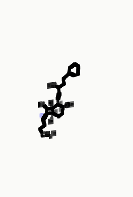 CCC1/C(=C/CCC(=O)O)[C@@H]2CC[C@H](O)[C@@H](C#CC(O)CCc3ccccc3)[C@H]12